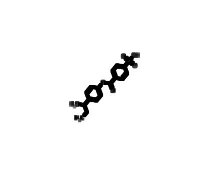 CCC(C)c1ccc(OC(=O)c2ccc(S(=O)(=O)O)cc2)cc1